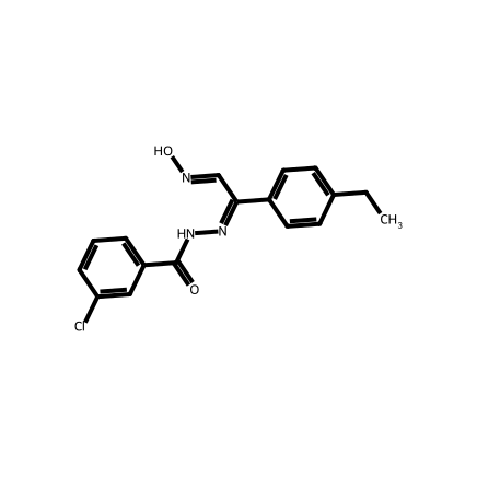 CCc1ccc(C(C=NO)=NNC(=O)c2cccc(Cl)c2)cc1